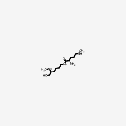 CNCCC[C@H](N)C(=O)NCCCC[C@@H](CO)NC